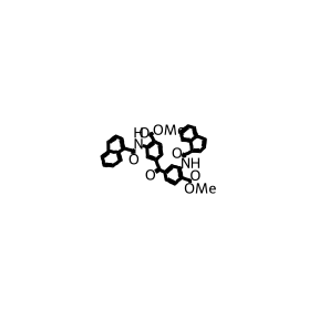 COC(=O)c1ccc(C(=O)c2ccc(C(=O)OC)c(NC(=O)c3cccc4ccccc34)c2)cc1NC(=O)c1cccc2ccccc12